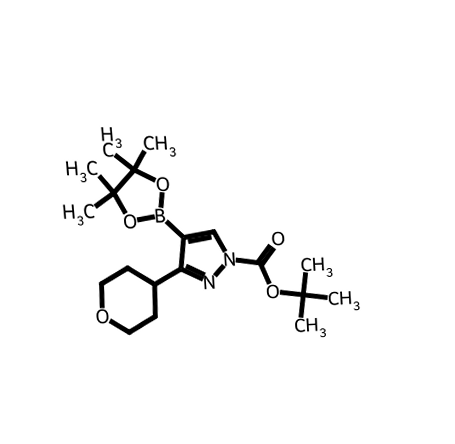 CC(C)(C)OC(=O)n1cc(B2OC(C)(C)C(C)(C)O2)c(C2CCOCC2)n1